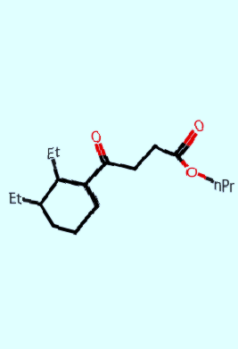 CCCOC(=O)CCC(=O)C1CCCC(CC)C1CC